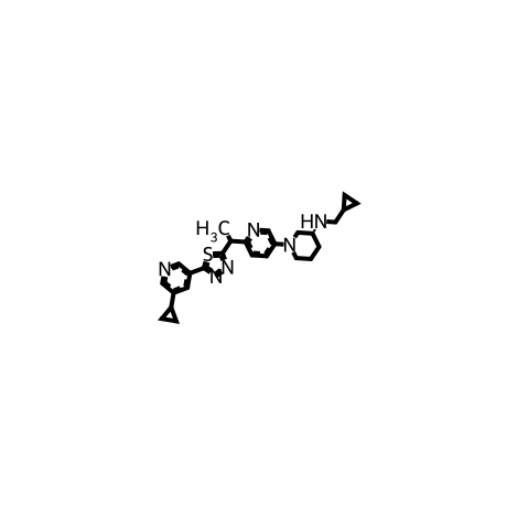 CC(c1ccc(N2CCC[C@@H](NCC3CC3)C2)cn1)c1nnc(-c2cncc(C3CC3)c2)s1